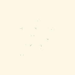 CC(=O)OC[C@H]1O[C@@H](OC(C)O)[C@H](OC(C)=O)[C@@H](OC(C)=O)[C@H]1OC(C)=O